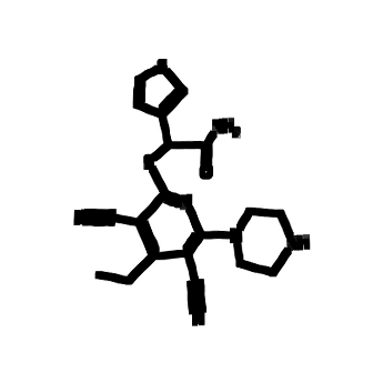 CCc1c(C#N)c(SC(C(N)=O)c2ccsc2)nc(N2CCNCC2)c1C#N